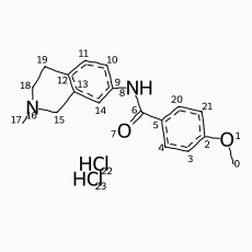 COc1ccc(C(=O)Nc2ccc3c(c2)CN(C)CC3)cc1.Cl.Cl